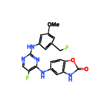 COc1cc(CF)cc(Nc2ncc(F)c(Nc3ccc4oc(=O)[nH]c4c3)n2)c1